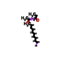 CC(=O)I.CCC(=O)I.CCCCCCCCCCI